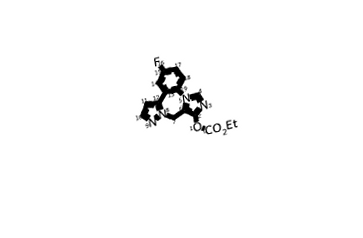 CCOC(=O)Oc1ncn2c1Cn1nccc1-c1cc(F)ccc1-2